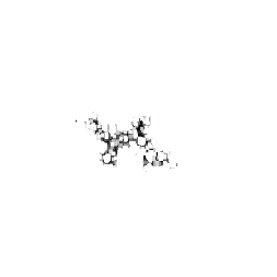 CNC(=O)c1c(-c2ccc(C)cc2)oc2cc(N(C)S(C)(=O)=O)c(-c3ccc4nc(CN5CC(C(C)(C)O)C5)n5c6cccc(F)c6cc5c4n3)cc12